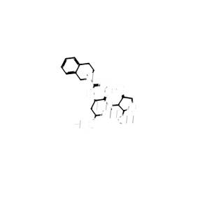 CC(C)CC(OC(=O)N1CCc2ccccc2C1)C(=O)NC1C(=O)COC1C